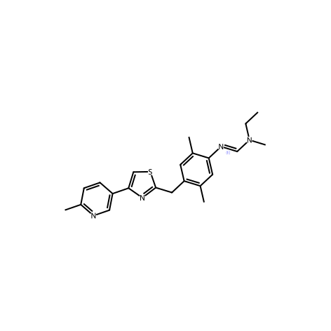 CCN(C)/C=N/c1cc(C)c(Cc2nc(-c3ccc(C)nc3)cs2)cc1C